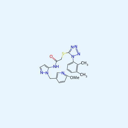 COc1ccc(Cn2nccc2NC(=O)CSc2nnnn2-c2cccc(C)c2C)cn1